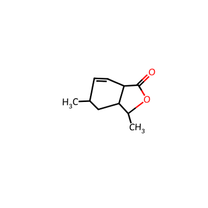 CC1C=CC2C(=O)OC(C)C2C1